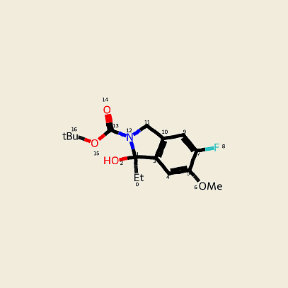 CCC1(O)c2cc(OC)c(F)cc2CN1C(=O)OC(C)(C)C